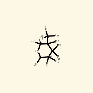 FC1OC(F)(F)C(F)(C(F)(F)F)C(F)(F)C1(F)F